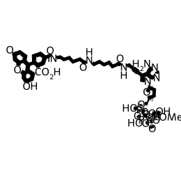 COP(=O)(O)OP(=O)(O)OP(=O)(O)OP(=O)(O)OC[C@@H]1CC[C@H](n2cc(C#CCNC(=O)CCCCCNC(=O)CCCCCNC(=O)c3ccc(-c4c5ccc(=O)cc-5oc5cc(O)ccc45)c(C(=O)O)c3)c3c(N)ncnc32)O1